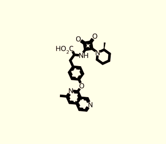 Cc1cc2ccncc2c(Oc2ccc(CC(Nc3c(N4CCCC[C@@H]4C)c(=O)c3=O)C(=O)O)cc2)n1